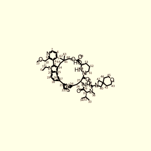 CCn1c(-c2cccnc2[C@H](C)OC)c2c3cc(ccc31)-c1csc(n1)C[C@H](NC(=O)[C@H](C(C)C)N(C)C(=O)N1CC3(CCOCC3)C1)C(=O)N1CCC[C@@](O)(N1)C(=O)OCC(C)(C)C2